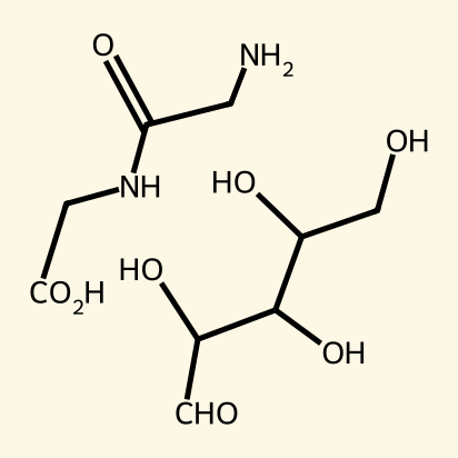 NCC(=O)NCC(=O)O.O=CC(O)C(O)C(O)CO